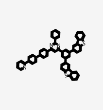 c1ccc(-c2nc(-c3ccc(-c4ccc(-c5ccccn5)cc4)cc3)cc(-c3cc(-c4ccc5sc6ccccc6c5c4)cc(-c4ccc5sc6ccccc6c5c4)c3)n2)cc1